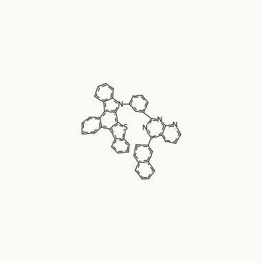 c1cc(-c2nc(-c3ccc4ccccc4c3)c3cccnc3n2)cc(-n2c3ccccc3c3c4ccccc4c4c5ccccc5sc4c32)c1